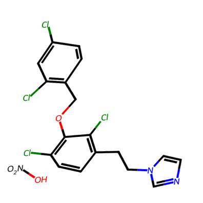 Clc1ccc(COc2c(Cl)ccc(CCn3ccnc3)c2Cl)c(Cl)c1.O=[N+]([O-])O